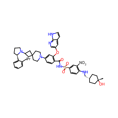 CC(C)c1ccccc1[C@H]1CCCN1C1CC2(CCN(c3ccc(C(=O)NS(=O)(=O)c4ccc(NC[C@H]5CC[C@@](C)(O)CC5)c([N+](=O)[O-])c4)c(Oc4cnc5[nH]ccc5c4)c3)CC2)C1